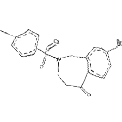 Cc1ccc(S(=O)(=O)N2CCC(=O)c3ccc(Br)cc3C2)cc1